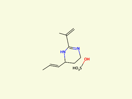 C=C(C)C1=NCCC(C=CC)N1.O=S(=O)(O)O